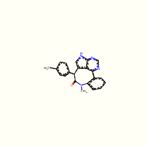 Cc1ccc(C2C(=O)N(C)c3ccccc3-c3ncnc4[nH]cc2c34)cc1